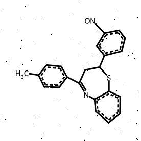 Cc1ccc(C2=Nc3ccccc3SC(c3cccc(N=O)c3)C2)cc1